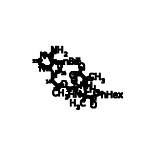 CCCCCCOC(=O)C(C)(C)NP(=O)(CO[C@@H](C)Cn1cnc2c(N)ncnc21)N[C@H](C)C(=O)OCCCC